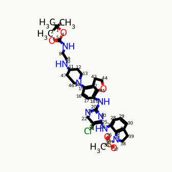 CC(C)(C)OC(=O)NCCNC1CCN(c2ccc(Nc3ncc(Cl)c(Nc4cccc5c4N(S(C)(=O)=O)CC5)n3)c3c2CCO3)CC1